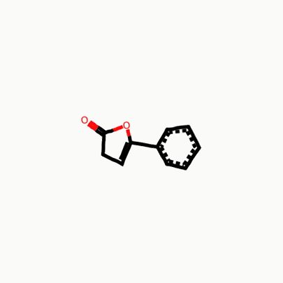 O=C1CC=C(c2ccccc2)O1